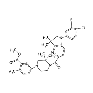 COC(=O)c1nc(N2CCN(C(=O)c3ccc4c(n3)C(C)(C)CN4c3ccc(Cl)c(F)c3)C(C)(C)C2)ccc1C